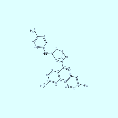 Cc1ccc(NC2CC3CC2N(C(=O)c2ccc(C)nc2-c2ncc(F)cn2)C3)nc1